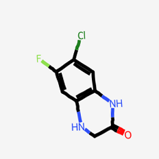 O=C1CNc2cc(F)c(Cl)cc2N1